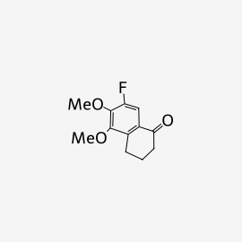 COc1c(F)cc2c(c1OC)CCCC2=O